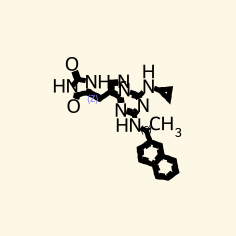 C[C@H](Nc1nc(NC2CC2)n2ncc(/C=C3\NC(=O)NC3=O)c2n1)c1ccc2ccccc2c1